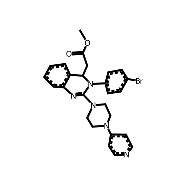 COC(=O)CC1c2ccccc2N=C(N2CCN(c3ccncc3)CC2)N1c1ccc(Br)cc1